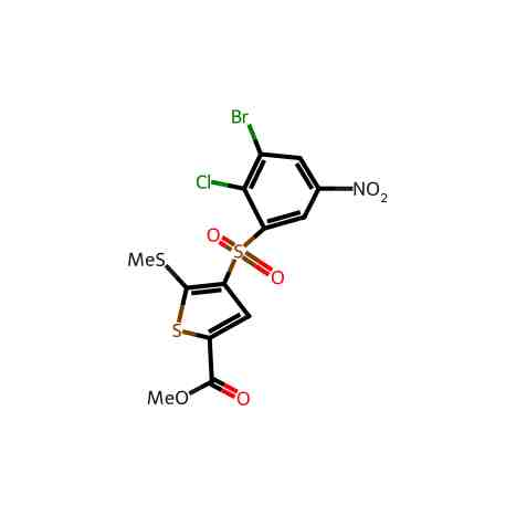 COC(=O)c1cc(S(=O)(=O)c2cc([N+](=O)[O-])cc(Br)c2Cl)c(SC)s1